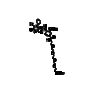 CC[C@@H]1C(=O)N(C)c2cnc(Nc3ccc(C(=O)NCCOCCOCCOCCOCCNC)cc3OC)nc2N1C1CCCC1